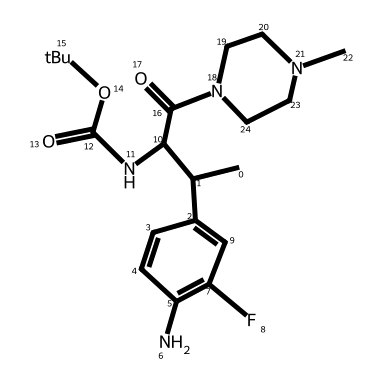 CC(c1ccc(N)c(F)c1)C(NC(=O)OC(C)(C)C)C(=O)N1CCN(C)CC1